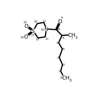 CCCCCCC(C)C(=O)N1CCS(=O)(=O)CC1